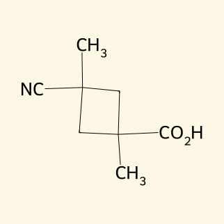 CC1(C#N)CC(C)(C(=O)O)C1